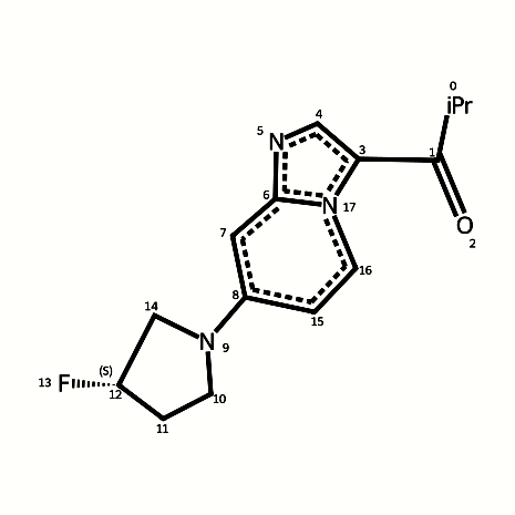 CC(C)C(=O)c1cnc2cc(N3CC[C@H](F)C3)ccn12